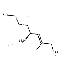 C/C(=C\[C@@H](N)CCCO)CO